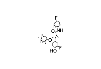 Cc1ncc(OC[C@]2(c3ccc(O)c(F)c3)C[C@H]2C(=O)Nc2ccc(F)cn2)c(C)n1